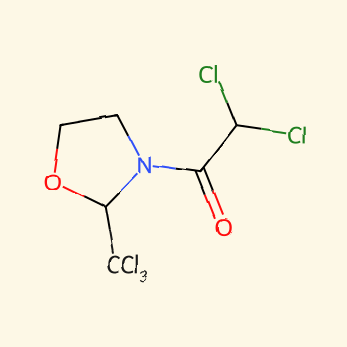 O=C(C(Cl)Cl)N1CCOC1C(Cl)(Cl)Cl